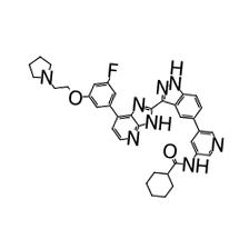 O=C(Nc1cncc(-c2ccc3[nH]nc(-c4nc5c(-c6cc(F)cc(OCCN7CCCC7)c6)ccnc5[nH]4)c3c2)c1)C1CCCCC1